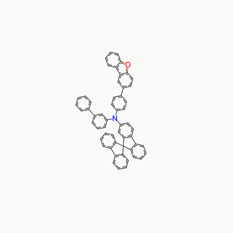 c1ccc(-c2cccc(N(c3ccc(-c4ccc5oc6ccccc6c5c4)cc3)c3ccc4c(c3)C3(c5ccccc5-c5ccccc53)c3ccccc3-4)c2)cc1